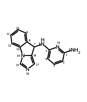 Nc1cccc(NC2c3ccccc3-n3cncc32)n1